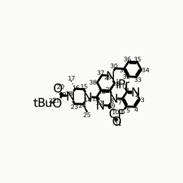 CC(C)c1nccc(F)c1N1C(=C=O)N=C(N2C[C@@H](C)N(C(=O)OC(C)(C)C)C[C@@H]2C)C2=C1CN(Cc1ccccc1)CC2